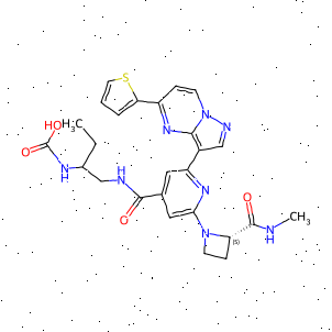 CCC(CNC(=O)c1cc(-c2cnn3ccc(-c4cccs4)nc23)nc(N2CC[C@H]2C(=O)NC)c1)NC(=O)O